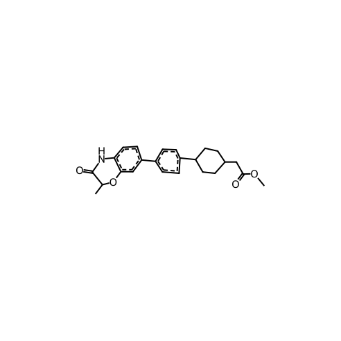 COC(=O)CC1CCC(c2ccc(-c3ccc4c(c3)OC(C)C(=O)N4)cc2)CC1